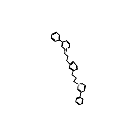 c1ccc(-c2ccc[n+](CCCc3cccc(CCC[n+]4cccc(-c5ccccc5)c4)c3)c2)cc1